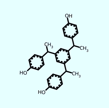 CC(c1ccc(O)cc1)c1cc(C(C)c2ccc(O)cc2)cc(C(C)c2ccc(O)cc2)c1